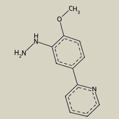 COc1ccc(-c2ccccn2)cc1NN